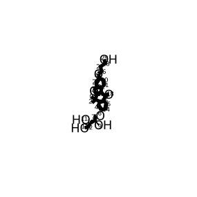 CC1(C)c2cc(OC[C@@H](O)C(O)CO)ccc2C(=O)c2c1oc1cc(OCCCO)ccc21